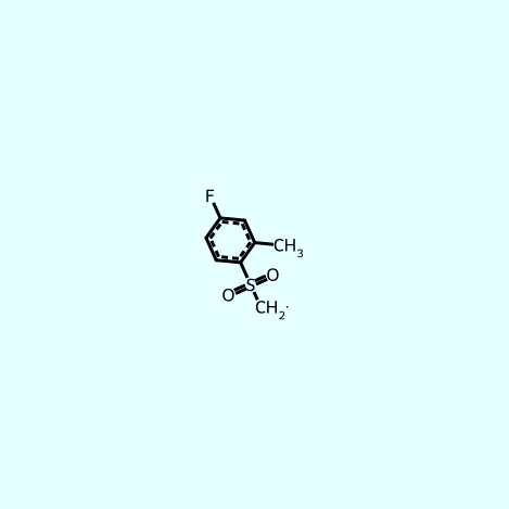 [CH2]S(=O)(=O)c1ccc(F)cc1C